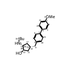 COc1ccc(-c2ccc(C[C@@H]3C[C@@H](O)[C@H](NC(C)(C)C)C3)cc2)cc1